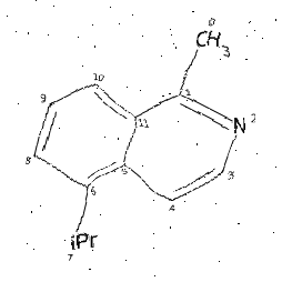 Cc1nccc2c(C(C)C)cccc12